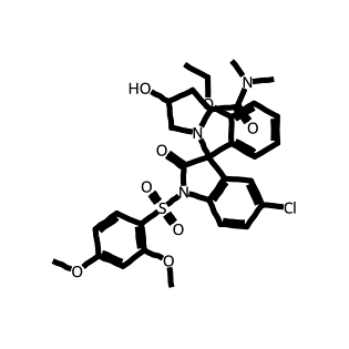 CCOc1ccccc1C1(N2CC(O)CC2C(=O)N(C)C)C(=O)N(S(=O)(=O)c2ccc(OC)cc2OC)c2ccc(Cl)cc21